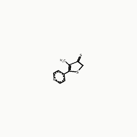 CC1=C(c2ccncc2)SCC1=S